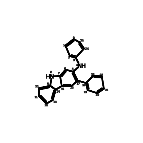 c1ccc(Nc2cc3[nH]c4ccccc4c3cc2-c2ccccc2)cc1